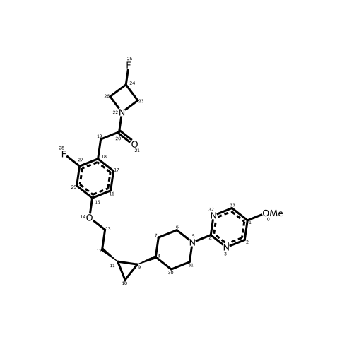 COc1cnc(N2CCC([C@H]3C[C@H]3CCOc3ccc(CC(=O)N4CC(F)C4)c(F)c3)CC2)nc1